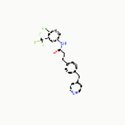 O=C(CCc1ccc(Cc2ccncc2)cc1)Nc1ccc(Cl)c(C(F)(F)F)c1